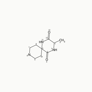 CC1NC(=O)C2(CC[N]CC2)NC1=O